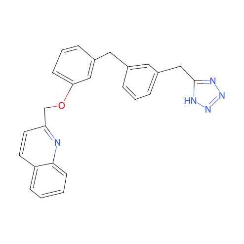 c1cc(Cc2cccc(OCc3ccc4ccccc4n3)c2)cc(Cc2nnn[nH]2)c1